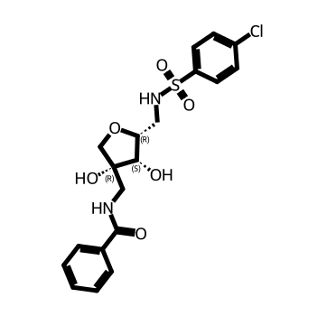 O=C(NC[C@@]1(O)CO[C@H](CNS(=O)(=O)c2ccc(Cl)cc2)[C@@H]1O)c1ccccc1